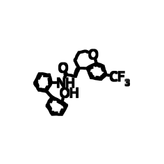 O=C(C=C1CCCOc2cc(C(F)(F)F)ccc21)Nc1ccccc1-c1ccccc1O